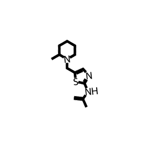 C=C(C)Nc1ncc(CN2CCCCC2C)s1